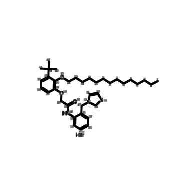 Br.CCCCCCCCCCCCCCOc1c(OCC(=O)Nc2ccccc2CN2C=CSC2)cccc1C(C)(C)C